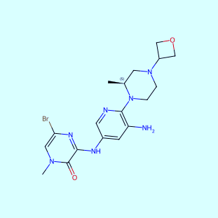 C[C@H]1CN(C2COC2)CCN1c1ncc(Nc2nc(Br)cn(C)c2=O)cc1N